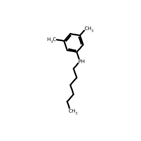 CCCCCCPc1cc(C)cc(C)c1